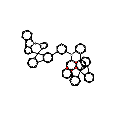 c1ccc(-c2cccc(-c3ccccc3N(c3cccc(-c4ccc5c(c4)C4(c6ccccc6-5)c5ccccc5-n5c6ccccc6c6cccc4c65)c3)c3ccc4c(c3)C3(c5ccccc5-c5ccccc53)c3ccccc3-4)c2)cc1